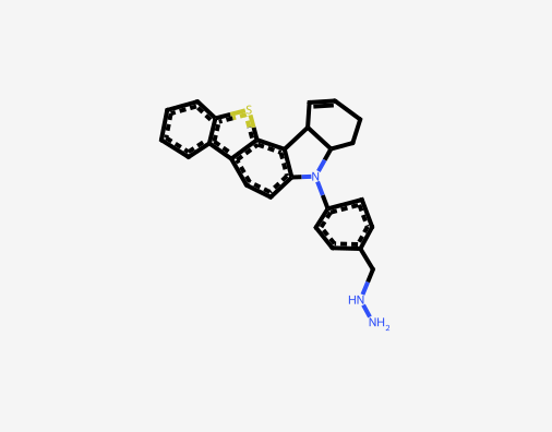 NNCc1ccc(N2c3ccc4c(sc5ccccc54)c3C3C=CCCC32)cc1